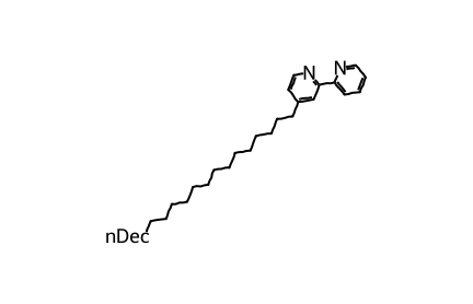 CCCCCCCCCCCCCCCCCCCCCCCCc1ccnc(-c2ccccn2)c1